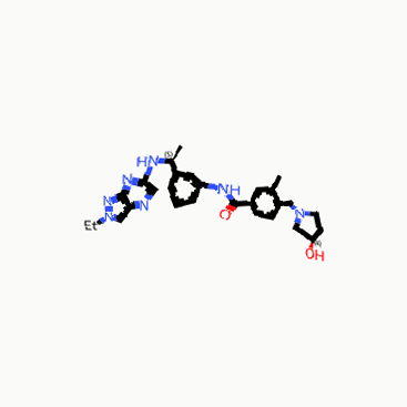 CCn1cc2ncc(N[C@@H](C)c3cccc(NC(=O)c4ccc(CN5CC[C@@H](O)C5)c(C)c4)c3)nc2n1